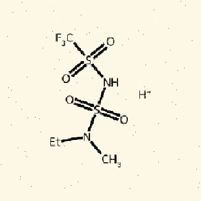 CCN(C)S(=O)(=O)NS(=O)(=O)C(F)(F)F.[H+]